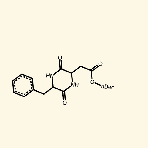 CCCCCCCCCCOC(=O)CC1NC(=O)C(Cc2ccccc2)NC1=O